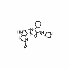 O=C(NC(C(=O)NCc1ccncc1)C1CCCCC1)c1c[nH]c2ncc(C3CC3)nc12